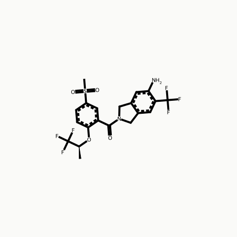 C[C@H](Oc1ccc(S(C)(=O)=O)cc1C(=O)N1Cc2cc(N)c(C(F)(F)F)cc2C1)C(F)(F)F